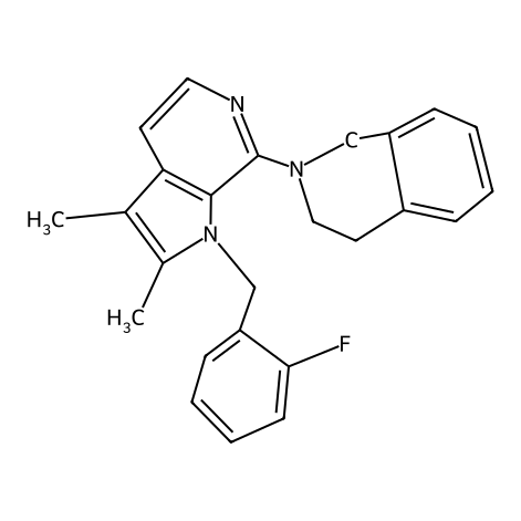 Cc1c(C)n(Cc2ccccc2F)c2c(N3CCc4ccccc4C3)nccc12